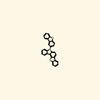 c1ccc2c(c1)oc1ccc(-n3c4ccccc4c4c5sc6ccccc6c5ccc43)cc12